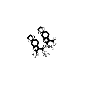 Nc1sc2c(c1C(=O)[O-])CCC1(C2)OCCO1.Nc1sc2c(c1C(=O)[O-])CCC1(C2)OCCO1.[Pb+2]